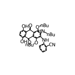 CCCCNc1c(Nc2ccccc2C#N)c(OCCCC)c2c(c1OCCCC)C(=O)c1c(O)ccc(O)c1C2=O